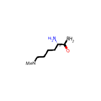 BC(=O)[C@@H](N)CCCCNC